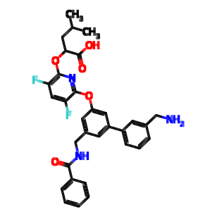 CC(C)CC(Oc1nc(Oc2cc(CNC(=O)c3ccccc3)cc(-c3cccc(CN)c3)c2)c(F)cc1F)C(=O)O